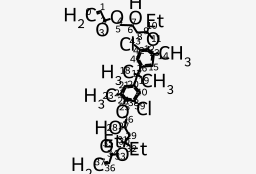 C=CC(=O)OCC(O)C[C@@H](CC)Oc1c(C)cc(C(C)(C)c2cc(C)c(OCC(O)CC(CC)(CC)OC(=O)C=C)c(Cl)c2)cc1Cl